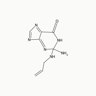 C=CCNC1(N)N=C2N=CN=C2C(=O)N1